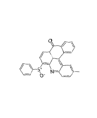 Cc1ccc2c(c1)=C1c3ccccc3C(=O)C3C=CC([S+]([O-])c4ccccc4)=C(N=2)C13